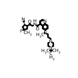 CN(CCCN1CCN(C(C)(C)C)CC1)c1ccc2nccc(C(=O)NCC(=O)C3CC(C)(F)C[C@H]3C#N)c2c1